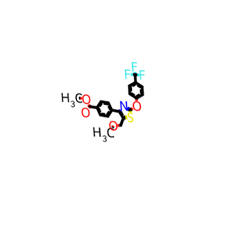 COCc1sc(Oc2ccc(C(F)(F)F)cc2)nc1-c1ccc(C(=O)OC)cc1